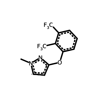 Cn1[c]cc(Oc2cccc(C(F)(F)F)c2C(F)(F)F)n1